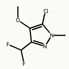 COc1c(C(F)F)nn(C)c1Cl